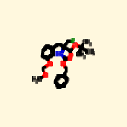 COCOc1cccc(CC(CF)(NC(=O)OCc2ccccc2)C(=O)OC(C)(C)C)c1